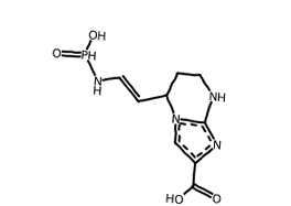 O=C(O)c1cn2c(n1)NCCC2/C=C/N[PH](=O)O